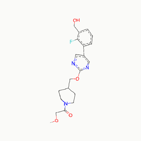 COCC(=O)N1CCC(COc2ncc(-c3cccc(CO)c3F)cn2)CC1